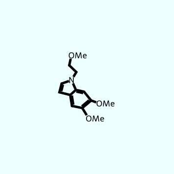 COCCn1ccc2cc(OC)c(OC)cc21